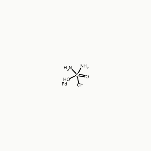 NS(N)(=O)(O)O.[Pd]